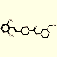 Cc1cccc(C)c1C=CC1CCN(C(=O)CN2CCO[C@@H](CO)C2)CC1